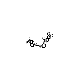 COc1cc2c(cc1OC)C(=O)N(CC1CCCCN(CCCOc3cccc4c(OC)c(OC)ccc34)C1)CC2